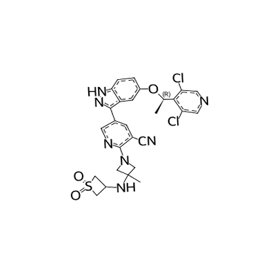 C[C@@H](Oc1ccc2[nH]nc(-c3cnc(N4CC(C)(NC5CS(=O)(=O)C5)C4)c(C#N)c3)c2c1)c1c(Cl)cncc1Cl